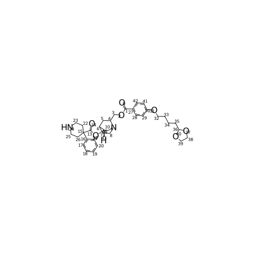 O=C(OCC1CC2CCN1C[C@@H]2OC(=O)C1(c2ccccc2)CCNCC1)c1ccc(OCCCCC2OCCO2)cc1